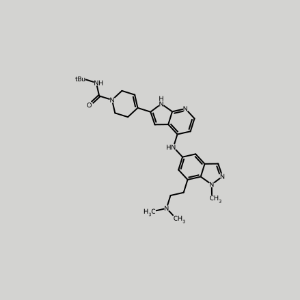 CN(C)CCc1cc(Nc2ccnc3[nH]c(C4=CCN(C(=O)NC(C)(C)C)CC4)cc23)cc2cnn(C)c12